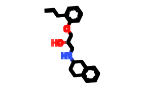 C=CCc1ccccc1OC[C@@H](O)CN[C@@H]1CCc2ccccc2C1